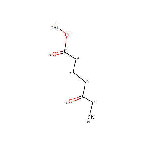 CC(C)(C)OC(=O)CCCC(=O)CC#N